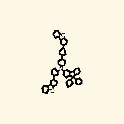 c1ccc(C2(c3ccccc3)c3ccccc3-c3cc(N(c4ccc(-c5ccc(-c6ccc7oc8ccccc8c7c6)cc5)cc4)c4cccc(-c5ccc6oc7ccccc7c6c5)c4)ccc32)cc1